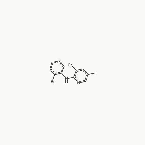 Cc1cnc(Nc2ccccc2Br)c(Br)c1